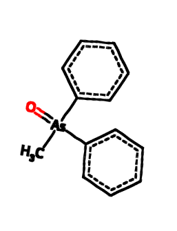 C[As](=O)(c1ccccc1)c1ccccc1